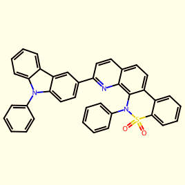 O=S1(=O)c2ccccc2-c2ccc3ccc(-c4ccc5c(c4)c4ccccc4n5-c4ccccc4)nc3c2N1c1ccccc1